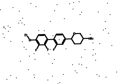 CCCCC1CCC(c2ccc(-c3ccc(OCC)c(F)c3F)c(F)c2)OC1